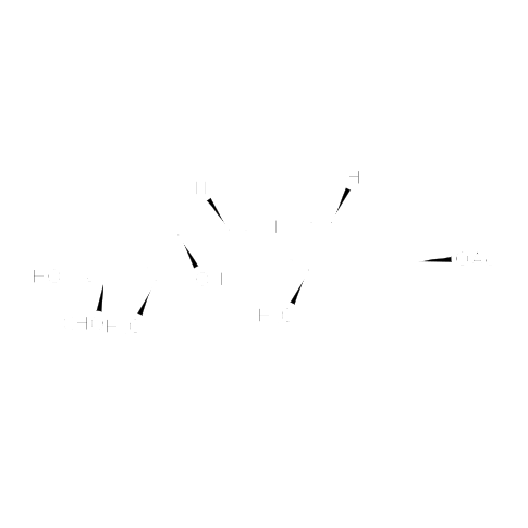 CC(=O)O[C@H]1CC[C@@]2(C)[C@H](CC[C@@H]3[C@@H]2CC[C@]2(C)[C@@](O)(C=O)CC[C@]32O)C1